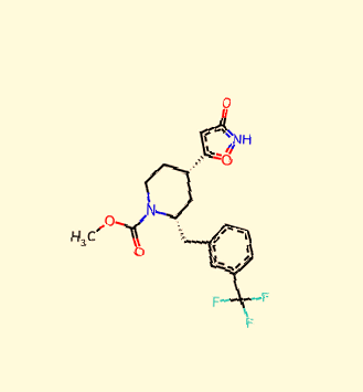 COC(=O)N1CC[C@H](c2cc(=O)[nH]o2)C[C@@H]1Cc1cccc(C(F)(F)F)c1